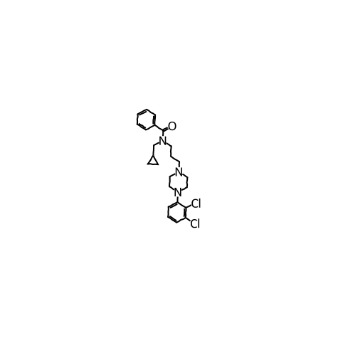 O=C(c1ccccc1)N(CCCN1CCN(c2cccc(Cl)c2Cl)CC1)CC1CC1